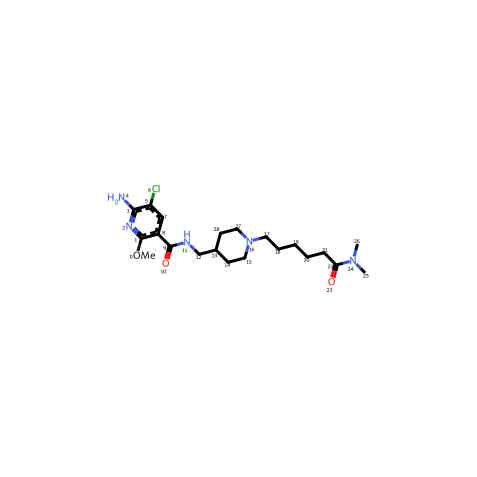 COc1nc(N)c(Cl)cc1C(=O)NCC1CCN(CCCCCC(=O)N(C)C)CC1